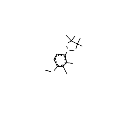 COc1ccc(B2OC(C)(C)C(C)(C)O2)c(Cl)c1C